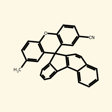 Cc1ccc2c(c1)C1(c3cc(C#N)ccc3O2)c2ccccc2-c2c1ccc1ccccc21